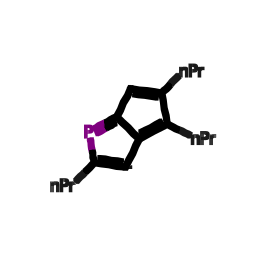 CCCC1=[C]C2=C(CCC)C(CCC)=CC2=P1